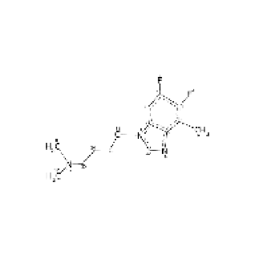 Cc1c(F)c(F)cc2c1n[c]n2OCCCN(C)C